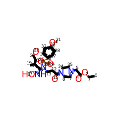 CCOC(=O)CN1CCN(C(=O)CCN(C(NO)C(C)CC=O)S(=O)(=O)c2ccc(OC)cc2)CC1